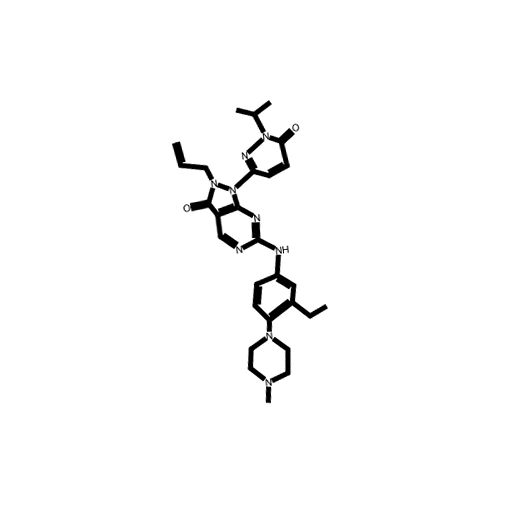 C=CCn1c(=O)c2cnc(Nc3ccc(N4CCN(C)CC4)c(CC)c3)nc2n1-c1ccc(=O)n(C(C)C)n1